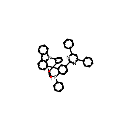 c1ccc(-c2cc(-c3ccccc3)nc(-c3ccc4c(c3)C3(c5ccccc5-n5c6ccccc6c6cccc3c65)c3ccccc3P4c3ccccc3)n2)cc1